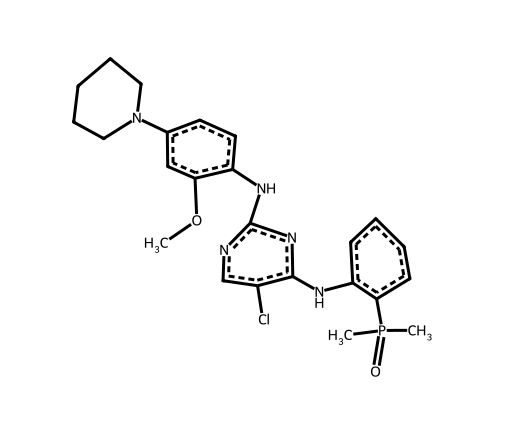 COc1cc(N2CCCCC2)ccc1Nc1ncc(Cl)c(Nc2ccccc2P(C)(C)=O)n1